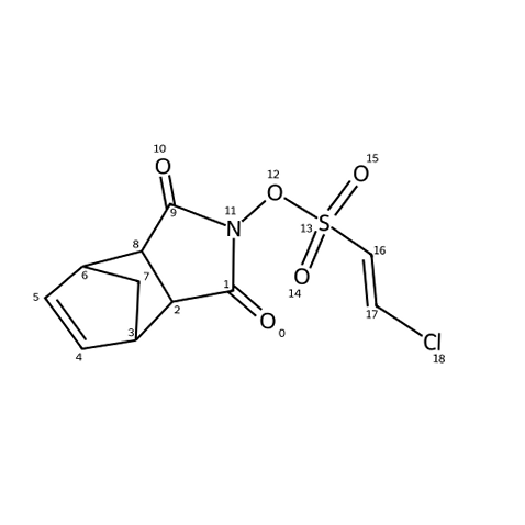 O=C1C2C3C=CC(C3)C2C(=O)N1OS(=O)(=O)C=CCl